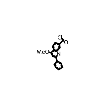 COc1cc(-c2ccccc2)nc2cc(C(=O)Cl)ccc12